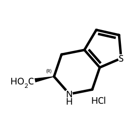 Cl.O=C(O)[C@H]1Cc2ccsc2CN1